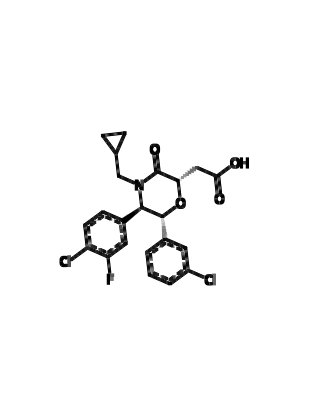 O=C(O)C[C@@H]1O[C@H](c2cccc(Cl)c2)[C@@H](c2ccc(Cl)c(F)c2)N(CC2CC2)C1=O